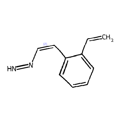 C=Cc1ccccc1/C=C\N=N